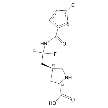 O=C(NC(F)(F)C[C@H]1CN[C@H](C(=O)O)C1)c1ccc(Cl)s1